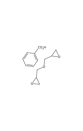 C(OCC1CO1)C1CO1.O=C(O)c1ccccc1